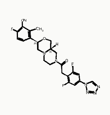 Cc1c([C@@H]2CN3CCN(C(=O)Cc4c(F)cc(-n5cnnn5)cc4F)C[C@H]3CO2)ccc(F)c1C#N